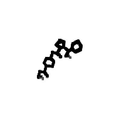 COC(=O)C1CCC(OC(=O)c2cncn2C(C)c2ccccc2)CC1